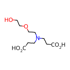 O=C(O)CCN(CCOCCO)CCC(=O)O